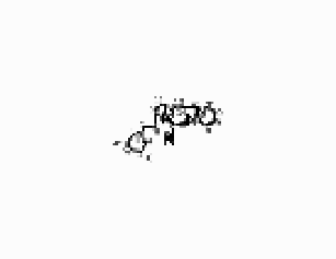 C[C@@H]1C[C@H](C)CN(CCN2CCN(CCCN3CC=CCC3)C2=C(C#N)C#N)C1